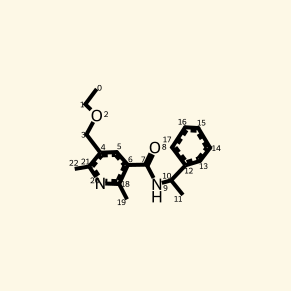 CCOCc1cc(C(=O)NC(C)c2ccccc2)c(C)nc1C